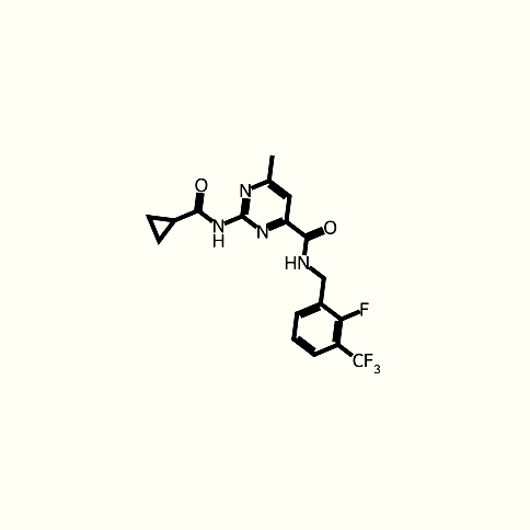 Cc1cc(C(=O)NCc2cccc(C(F)(F)F)c2F)nc(NC(=O)C2CC2)n1